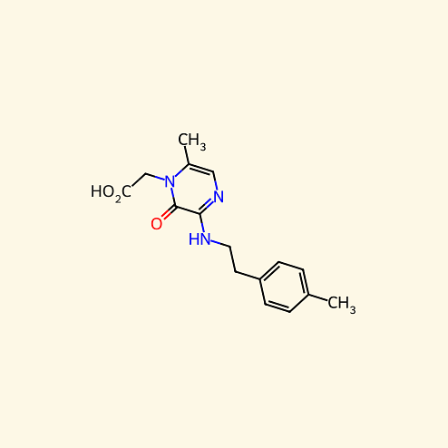 Cc1ccc(CCNc2ncc(C)n(CC(=O)O)c2=O)cc1